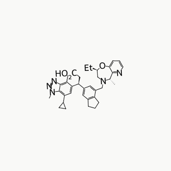 CC[C@@H]1CN(Cc2cc([C@H](CC(=O)O)c3cc(C4CC4)c4c(nnn4C)c3C)cc3c2CCC3)[C@@H](C)c2ncccc2O1